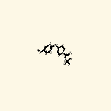 CSc1cnc(OC2CCN(C(=O)OC(C)(C)C)CC2)nc1